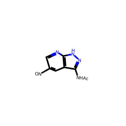 CC(=O)Nc1n[nH]c2ncc(N=O)cc12